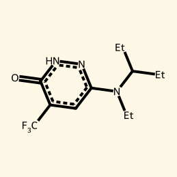 CCC(CC)N(CC)c1cc(C(F)(F)F)c(=O)[nH]n1